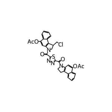 CC(=O)Oc1cc2c(c3ccccc13)CCN2C(=O)c1nnc(C(=O)N2CC(CCl)c3c2cc(OC(C)=O)c2ccccc32)s1